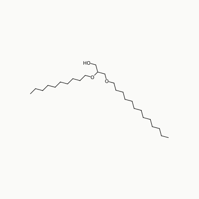 CCCCCCCCCCCCCOCC(CO)OCCCCCCCCCC